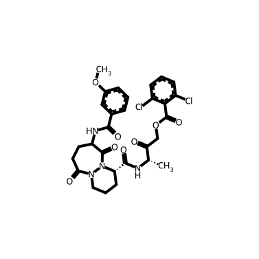 COc1cccc(C(=O)NC2CCC(=O)N3CCC[C@@H](C(=O)N[C@@H](C)C(=O)COC(=O)c4c(Cl)cccc4Cl)N3C2=O)c1